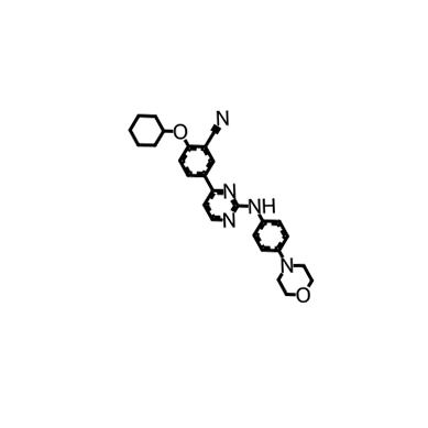 N#Cc1cc(-c2ccnc(Nc3ccc(N4CCOCC4)cc3)n2)ccc1OC1CCCCC1